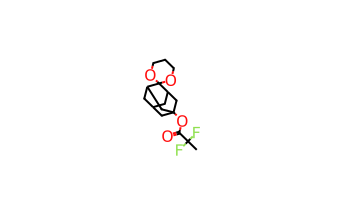 CC(F)(F)C(=O)OC12CC3CC(C1)C1(OCCCO1)C(C3)C2